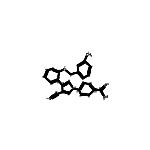 Cc1cccc(COc2ccccc2-c2cn(-c3ccc(C(=O)O)cc3)cc2C#N)c1